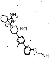 Cc1cc(C2CCN(S(=O)(=O)C3(C(N)=O)CCOCC3)CC2)ccc1-c1cccc(OCCN)n1.Cl